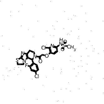 CS(=O)(=O)Nc1ccc(OCC(=O)N2CCc3nc4n(c3C2c2ccc(Cl)cc2F)CCS4)c(Cl)n1